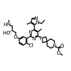 CCn1ncc(C)c1-c1nc(-c2cc(OC[C@H](O)CNC)ccc2Cl)nc(N2CC3(CCN(C(=O)OC)CC3)C2)c1C